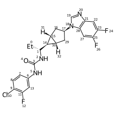 CC[C@@H](NC(=O)Nc1ccc(Cl)c(F)c1)[C@H]1[C@@H]2C[C@@H](n3cnc4cc(F)c(F)cc43)C[C@@H]21